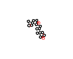 c1ccc(-c2ccccc2-c2c3ccccc3c(-c3ccc(-c4cccc5cc(-c6c7ccccc7c(-c7cccc8oc9ccccc9c78)c7ccccc67)c6ccccc6c45)c4oc5ccccc5c34)c3ccccc23)cc1